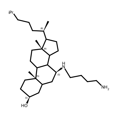 CC(C)CCC[C@@H](C)C1CCC2C3C(CC[C@@]21C)[C@@]1(C)CC[C@H](O)CC1C[C@@H]3NCCCCN